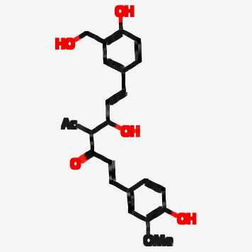 COc1cc(/C=C/C(=O)C(C(C)=O)C(O)/C=C/c2ccc(O)c(CO)c2)ccc1O